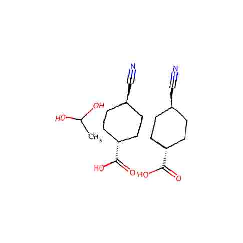 CC(O)O.N#C[C@H]1CC[C@H](C(=O)O)CC1.N#C[C@H]1CC[C@H](C(=O)O)CC1